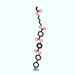 C=CC(=O)OCCCCCOC(=O)C1CCC(C(=O)Oc2ccc(C(=O)OC3CCC(C4CCC(CCC)CC4)CC3)cc2)CC1